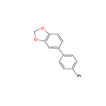 CC(C)c1ccc(-c2ccc3c(c2)OCO3)cc1